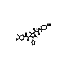 Cc1cc(NC(=O)c2c(C)c(C(=O)C(=O)N[C@]3(C)CC[C@H](O)CC3)n(C)c2-c2ccsc2)ccc1F